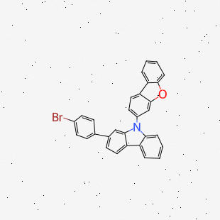 Brc1ccc(-c2ccc3c4ccccc4n(-c4ccc5c(c4)oc4ccccc45)c3c2)cc1